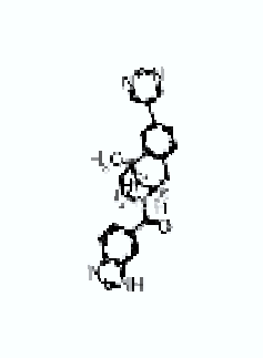 C[C@@H]1[C@H]2Cc3ccc(-c4cncnc4)cc3[C@]1(C)CCN2C(=O)c1ccc2nc[nH]c2c1